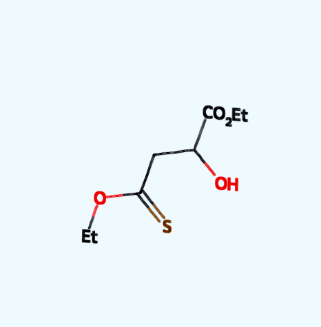 CCOC(=O)C(O)CC(=S)OCC